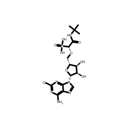 CC(C)(C)NC(=O)[C@H](OC[C@H]1O[C@@H](n2cnc3c(N)nc(Cl)nc32)[C@H](O)[C@@H]1O)P(=O)(O)O